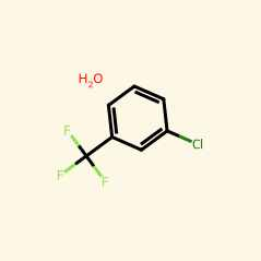 FC(F)(F)c1cccc(Cl)c1.O